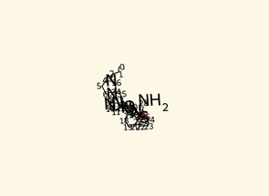 CCCN1CCCN(c2nccc(-c3onc4c3CCC[C@@]43CCCc4sc(N)c(C#N)c43)n2)[C@@H](C)C1